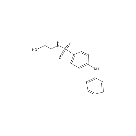 O=S(=O)(NCCO)c1ccc(Nc2ccccc2)cc1